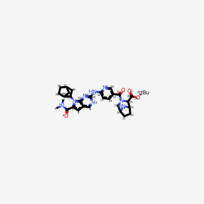 CN(C)C(=O)c1cc2cnc(Nc3ccc(C(=O)N4CC5CCC(N5)C4C(=O)OC(C)(C)C)cn3)nc2n1C1CC2CCC1C2